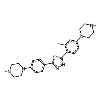 Cc1cc(N2CCNCC2)ccc1-c1nnc(-c2ccc(N3CCNCC3)cc2)o1